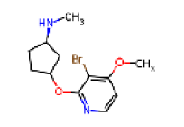 CN[C@@H]1CCC(Oc2nccc(OC)c2Br)C1